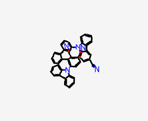 N#Cc1ccc2c(c1)c1ccccc1n2-c1cccc(-c2ccccc2-c2c(-n3c4ccccc4c4ccccc43)ccc(C#N)c2C#N)c1